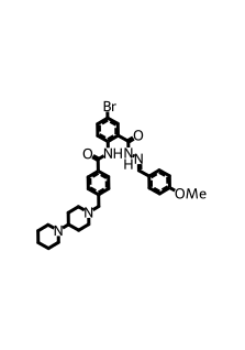 COc1ccc(C=NNC(=O)c2cc(Br)ccc2NC(=O)c2ccc(CN3CCC(N4CCCCC4)CC3)cc2)cc1